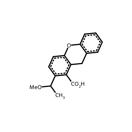 COC(C)c1ccc2c(c1C(=O)O)Cc1ccccc1O2